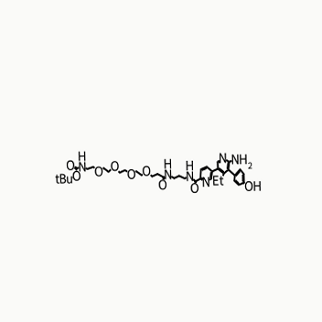 CCc1c(-c2ccc(C(=O)NCCCNC(=O)CCOCCOCCOCCOCCNC(=O)OC(C)(C)C)nc2)cnc(N)c1-c1ccc(O)cc1